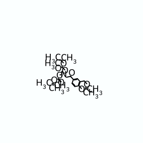 CC(C)(C)OC(=O)ON(CC(=O)c1ccc2c(c1)COC(C)(C)O2)OC(=O)OC(C)(C)C